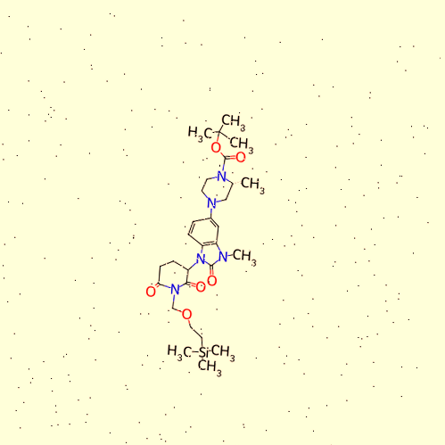 C[C@@H]1CN(c2ccc3c(c2)n(C)c(=O)n3C2CCC(=O)N(COCC[Si](C)(C)C)C2=O)CCN1C(=O)OC(C)(C)C